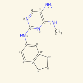 CNc1nc(Nc2ccc3c(c2)CCC3)ncc1N